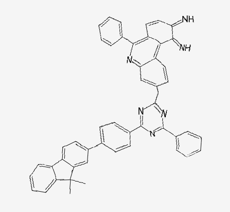 CC1(C)c2ccccc2-c2ccc(-c3ccc(-c4nc(-c5ccccc5)nc(-c5ccc6c7c(c(-c8ccccc8)nc6c5)C=CC(=N)C7=N)n4)cc3)cc21